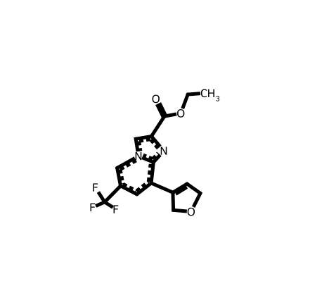 CCOC(=O)c1cn2cc(C(F)(F)F)cc(C3=CCOC3)c2n1